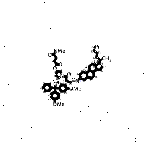 CNC(=O)CCC(=O)O[C@@H]1C[C@@H](COC(c2ccccc2)(c2ccc(OC)cc2)c2ccc(OC)cc2)N(C(=O)CCO/N=C2\CC[C@@]3(C)C(=CCC4C3CC[C@@]3(C)C4CC[C@@H]3[C@H](C)CCCC(C)C)C2)C1